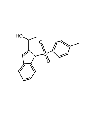 Cc1ccc(S(=O)(=O)n2c(C(C)O)cc3ccccc32)cc1